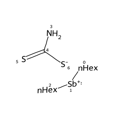 CCCCC[CH2][Sb+][CH2]CCCCC.NC(=S)[S-]